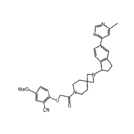 COc1ccc(OCC(=O)N2CCC3(CC2)CN(C2CCc4cc(-c5cc(C)ncn5)ccc42)C3)c(C#N)c1